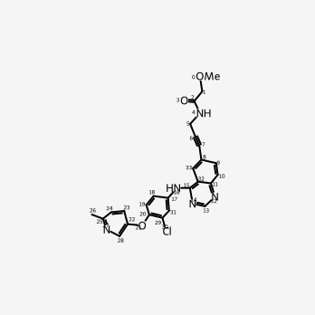 COCC(=O)NCC#Cc1ccc2ncnc(Nc3ccc(Oc4ccc(C)nc4)c(Cl)c3)c2c1